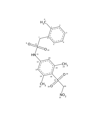 Cc1ccccc1CS(=O)(=O)Nc1cc(C)c(S(=O)(=O)C[N+](=O)[O-])c(C)c1